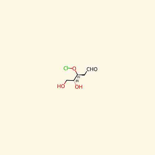 O=CC[C@H](OCl)[C@H](O)CO